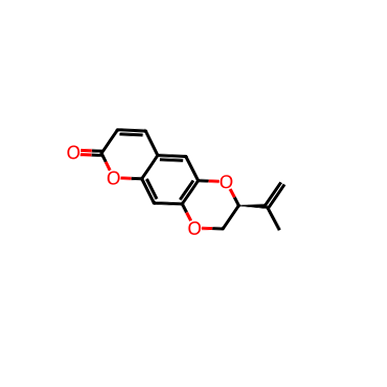 C=C(C)[C@H]1COc2cc3oc(=O)ccc3cc2O1